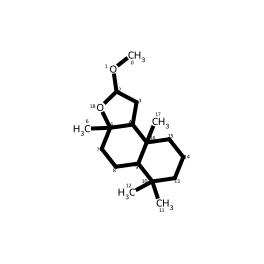 COC1CC2C(C)(CCC3C(C)(C)CCCC32C)O1